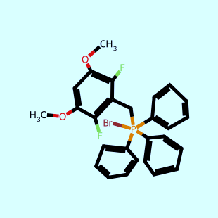 COc1cc(OC)c(F)c(CP(Br)(c2ccccc2)(c2ccccc2)c2ccccc2)c1F